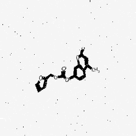 Cc1cc(=O)oc2cc(OC(=O)OCc3ccco3)ccc12